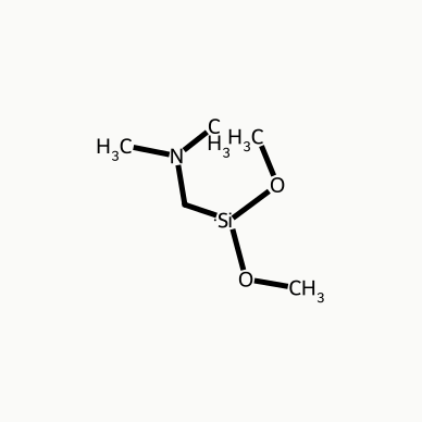 CO[Si](CN(C)C)OC